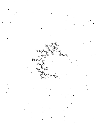 C=CCCC12C=CC(C1)C1C(=O)N(c3ccc(Cc4ccc(N5C(=O)C6C7C=CC(CCC=C)(C7)C6C5=O)cc4O)c(O)c3)C(=O)C12